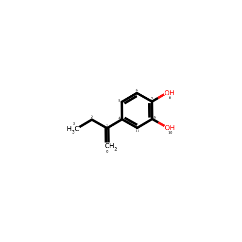 C=C(CC)c1ccc(O)c(O)c1